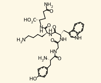 NCCCC[C@H](NC(=O)[C@H](Cc1c[nH]c2ccccc12)NC(=O)CNC(=O)[C@@H](N)Cc1ccc(O)cc1)C(=O)N[C@@H](CCC(N)=O)C(=O)O